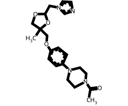 CC(=O)N1CCN(c2ccc(OCC3(C)COC(Cn4ccnc4)O3)cc2)CC1